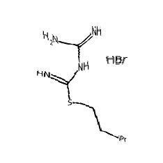 Br.CC(C)CCSC(=N)NC(=N)N